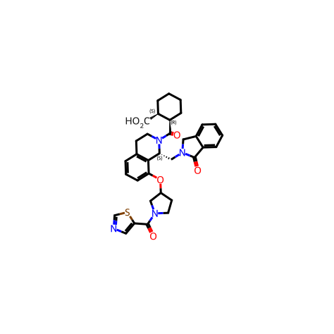 O=C(O)[C@H]1CCCC[C@H]1C(=O)N1CCc2cccc(OC3CCN(C(=O)c4cncs4)C3)c2[C@H]1CN1Cc2ccccc2C1=O